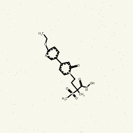 CCOc1ccc(-c2ccn(CCC(C)(C(=O)NO)S(C)(=O)=O)c(=O)c2)cn1